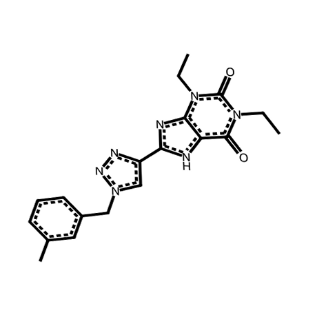 CCn1c(=O)c2[nH]c(-c3cn(Cc4cccc(C)c4)nn3)nc2n(CC)c1=O